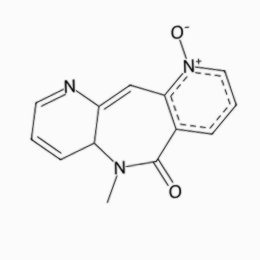 CN1C(=O)c2ccc[n+]([O-])c2C=C2N=CC=CC21